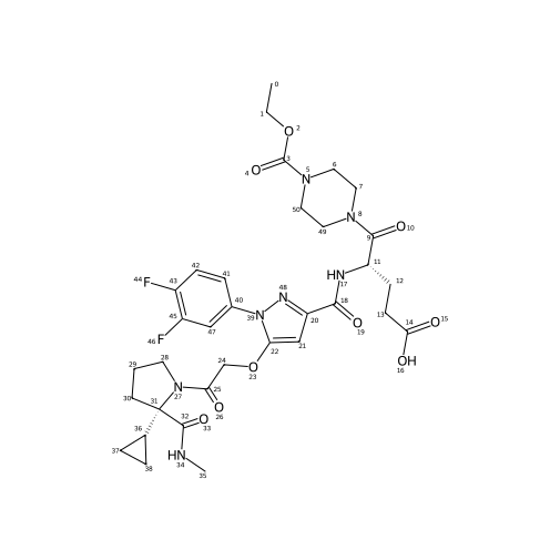 CCOC(=O)N1CCN(C(=O)[C@H](CCC(=O)O)NC(=O)c2cc(OCC(=O)N3CCC[C@@]3(C(=O)NC)C3CC3)n(-c3ccc(F)c(F)c3)n2)CC1